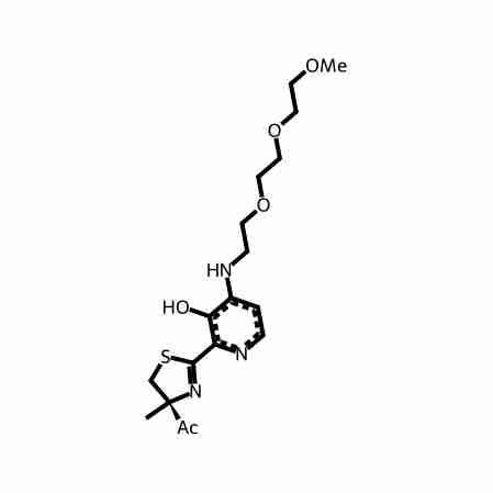 COCCOCCOCCNc1ccnc(C2=N[C@@](C)(C(C)=O)CS2)c1O